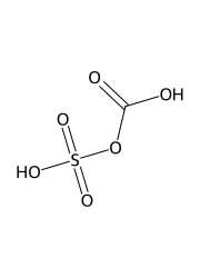 O=C(O)OS(=O)(=O)O